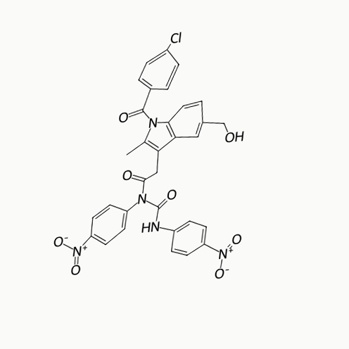 Cc1c(CC(=O)N(C(=O)Nc2ccc([N+](=O)[O-])cc2)c2ccc([N+](=O)[O-])cc2)c2cc(CO)ccc2n1C(=O)c1ccc(Cl)cc1